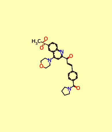 CS(=O)(=O)c1ccc2nc(C(=O)C=Cc3ccc(C(=O)N4CCCC4)cc3)cc(N3CCOCC3)c2c1